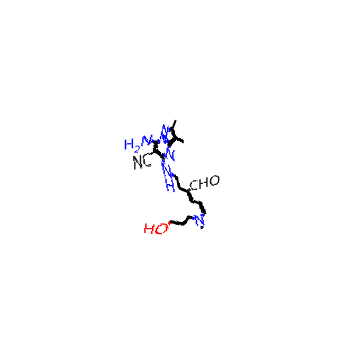 Cc1nn2c(N)c(C#N)c(NCC/C(C=O)=C/C=C\N(C)CCCO)nc2c1C